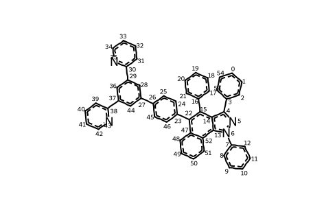 c1ccc(-c2nn(-c3ccccc3)c3c2c(-c2ccccc2)c(-c2ccc(-c4cc(-c5ccccn5)cc(-c5ccccn5)c4)cc2)c2ccccc23)cc1